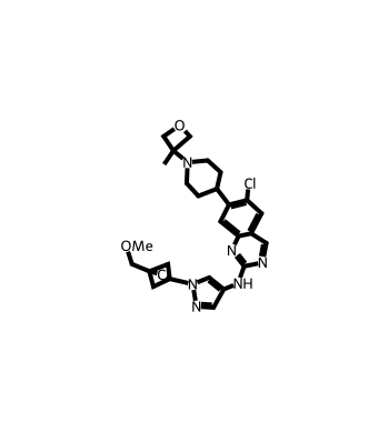 COCC12CC(n3cc(Nc4ncc5cc(Cl)c(C6CCN(C7(C)COC7)CC6)cc5n4)cn3)(C1)C2